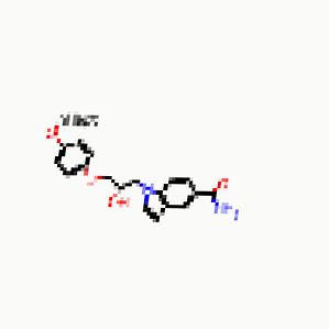 CCCCCCCOc1ccc(OCC(O)Cn2ccc3cc(C(N)=O)ccc32)cc1